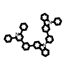 c1ccc(-c2cc(-c3cccc(-c4ccc5c(c4)c4ccccc4n5-c4cccc(-c5ccc6c7ccccc7n(-c7ccccc7)c6c5)c4)c3)cc(-c3ccccc3)n2)cc1